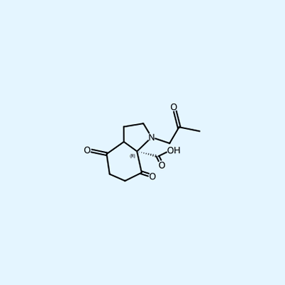 CC(=O)CN1CCC2C(=O)CCC(=O)[C@@]21C(=O)O